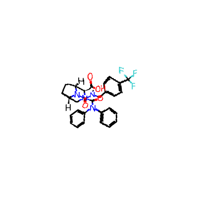 CN(Cc1ccc(C(F)(F)F)cc1)C(=O)N1[C@H]2CC[C@@H]1[C@@H](C(=O)O)N(C(=O)N(c1ccccc1)c1ccccc1)C2